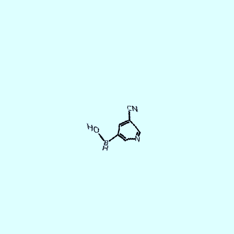 N#Cc1cncc(BO)c1